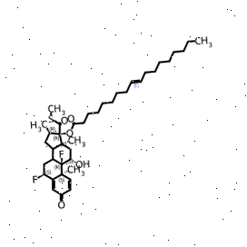 CCCCCCCC/C=C/CCCCCCCC(=O)O[C@]1(C(=O)SC)[C@H](C)CC2C3C[C@H](F)C4=CC(=O)C=C[C@]4(C)[C@@]3(F)[C@@H](O)C[C@@]21C